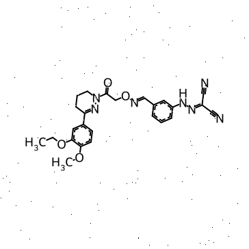 CCOc1cc(C2=NN(C(=O)CON=Cc3cccc(NN=C(C#N)C#N)c3)CCC2)ccc1OC